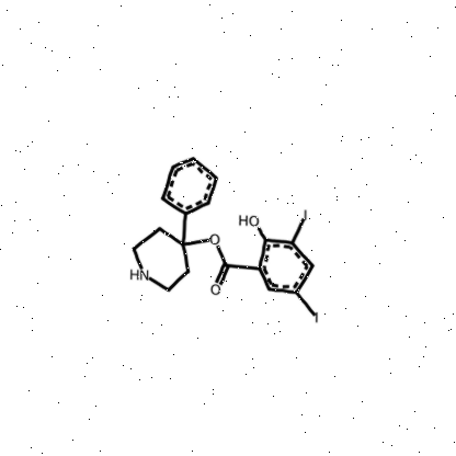 O=C(OC1(c2ccccc2)CCNCC1)c1cc(I)cc(I)c1O